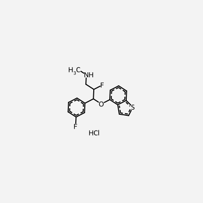 CNCC(F)C(Oc1cccc2sccc12)c1cccc(F)c1.Cl